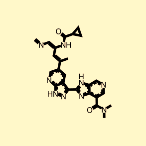 C=N/C=C(\C=C(/C)c1cnc2[nH]nc(-c3nc4c(C(=O)N(C)C)cncc4[nH]3)c2c1)NC(=O)C1CC1